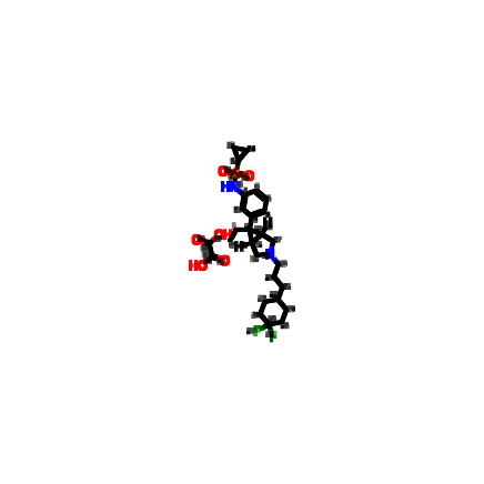 CCC1(c2cccc(NS(=O)(=O)C3CC3)c2)[C@@H]2CN(CCCC3CCC(F)(F)CC3)C[C@@H]21.O=C(O)C(=O)O